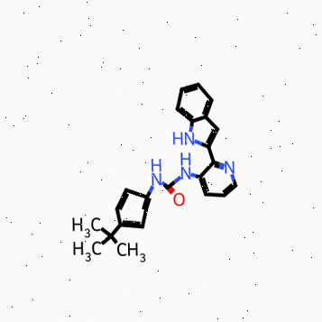 CC(C)(C)c1ccc(NC(=O)Nc2cccnc2-c2cc3ccccc3[nH]2)cc1